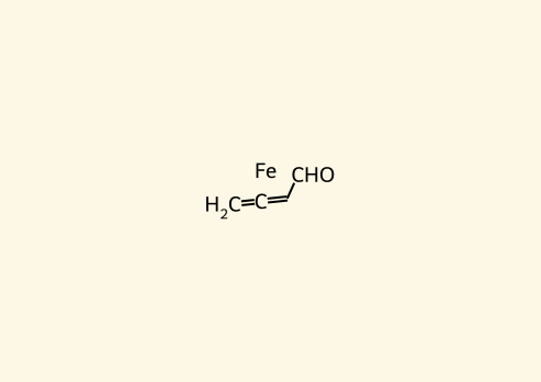 C=C=CC=O.[Fe]